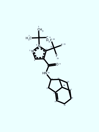 CC(C)(C)n1ncc(C(=O)NC2CC3=CCC4CC3C2C4)c1C(F)(F)F